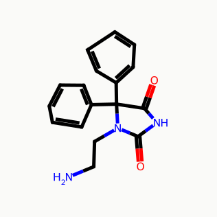 NCCN1C(=O)NC(=O)C1(c1ccccc1)c1ccccc1